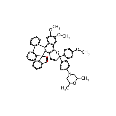 COc1ccc(C2(c3ccc(N4CC(C)OC(C)C4)cc3)C=Cc3c4c(c5cc(OC)c(OC)cc5c3O2)-c2ccccc2-c2ccccc2C42c3ccccc3-c3ccccc32)cc1